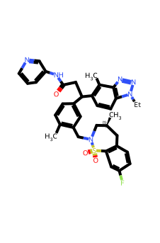 CCn1nnc2c(C)c(C(CC(=O)Nc3cccnc3)c3ccc(C)c(CN4C[C@@H](C)Cc5ccc(F)cc5S4(=O)=O)c3)ccc21